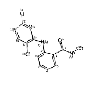 CCNC(=O)c1ccccc1Nc1nc(Cl)ncc1Cl